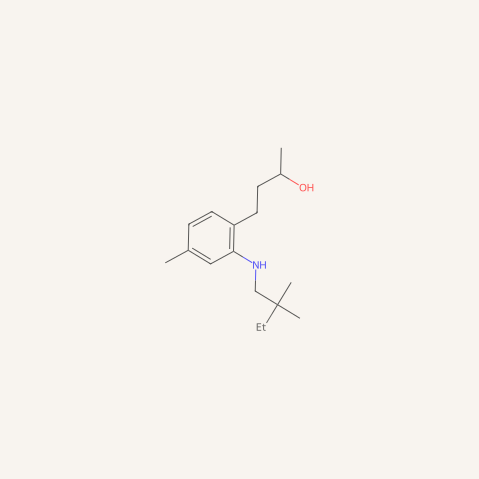 CCC(C)(C)CNc1cc(C)ccc1CCC(C)O